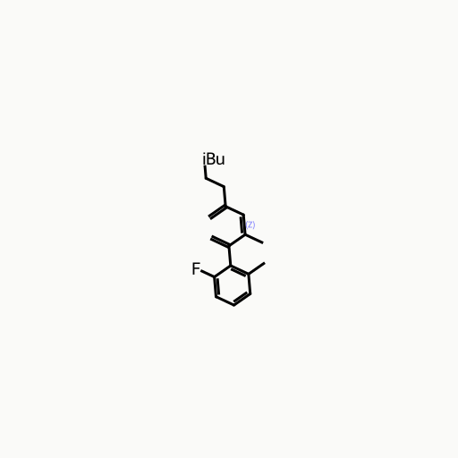 C=C(/C=C(/C)C(=C)c1c(C)cccc1F)CCC(C)CC